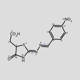 O=C(O)CC1S/C(=N\N=C\c2ccc([N+](=O)[O-])cc2)NC1=O